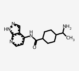 CC(N)C1CCC(C(=O)Nc2ccnc3[nH]ncc23)CC1